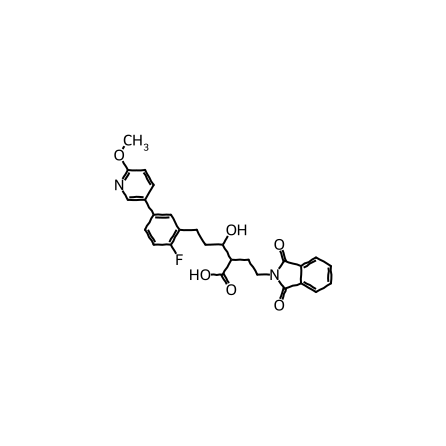 COc1ccc(-c2ccc(F)c(CCC(O)C(CCN3C(=O)c4ccccc4C3=O)C(=O)O)c2)cn1